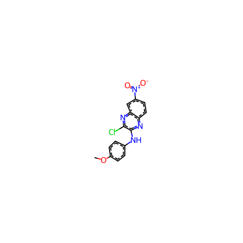 COc1ccc(Nc2nc3ccc([N+](=O)[O-])cc3nc2Cl)cc1